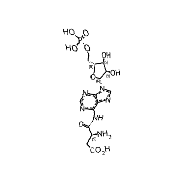 N[C@@H](CC(=O)O)C(=O)Nc1ncnc2c1ncn2[C@@H]1O[C@H](COP(=O)(O)O)[C@@H](O)[C@H]1O